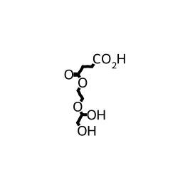 O=C(O)CCC(=O)OCCOC(O)CO